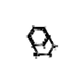 c1cc2cc(c1)[NH][Yb][NH]2